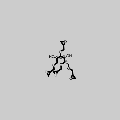 O[C@@H]([C@H](OCC1CO1)[C@H](O)COCC1CO1)[C@H](COCC1CO1)OCC1CO1